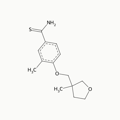 Cc1cc(C(N)=S)ccc1OCC1(C)CCOC1